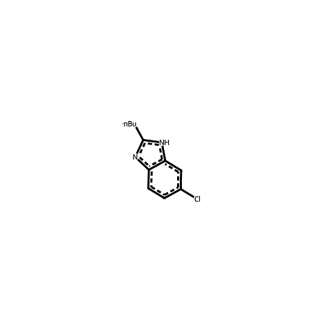 CCC[CH]c1nc2ccc(Cl)cc2[nH]1